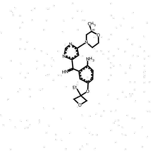 CCC1(Oc2ccc(N)c(C(=N)c3cc(N4CCO[C@H](C)C4)ncn3)c2)COC1